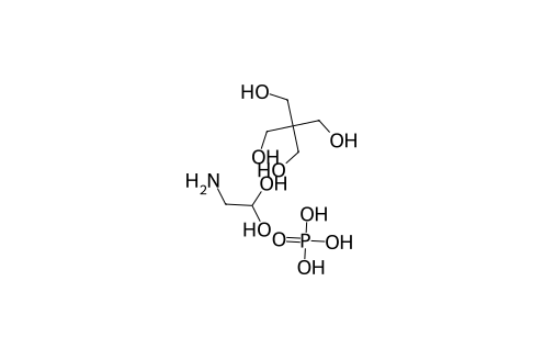 NCC(O)O.O=P(O)(O)O.OCC(CO)(CO)CO